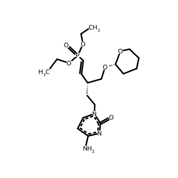 CCOP(=O)(C=C[C@@H](CCn1ccc(N)nc1=O)CO[C@H]1CCCCO1)OCC